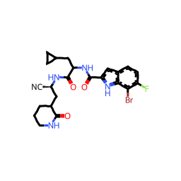 N#C[C@H](CC1CCCNC1=O)NC(=O)C(CC1CC1)NC(=O)c1cc2ccc(F)c(Br)c2[nH]1